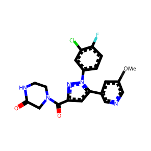 COc1cncc(-c2cc(C(=O)N3CCNC(=O)C3)nn2-c2ccc(F)c(Cl)c2)c1